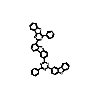 c1ccc(-c2nc(-c3ccc4sc5ccccc5c4c3)nc(-c3ccc4sc5c(-c6nc(-c7ccccc7)c7sc8ccccc8c7n6)cccc5c4c3)n2)cc1